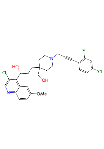 COc1ccc2ncc(Cl)c([C@H](O)CCC3(CO)CCN(CC#Cc4ccc(Cl)cc4F)CC3)c2c1